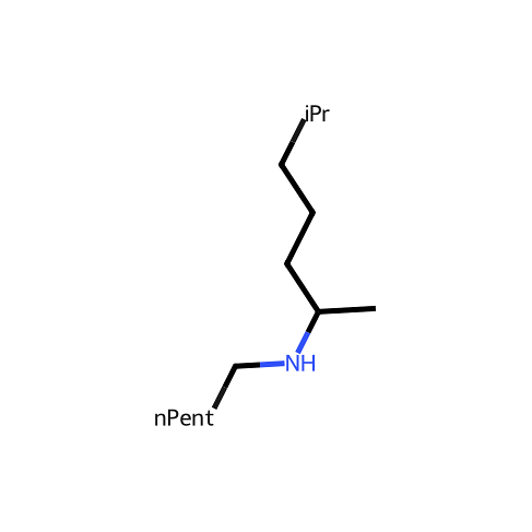 CCCCCCNC(C)CCCC(C)C